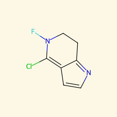 FN1CCC2=NC=CC2=C1Cl